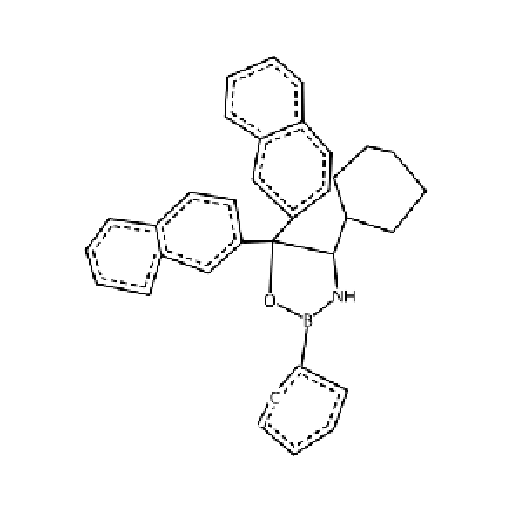 c1ccc(B2NC(C3CCCCC3)C(c3ccc4ccccc4c3)(c3ccc4ccccc4c3)O2)cc1